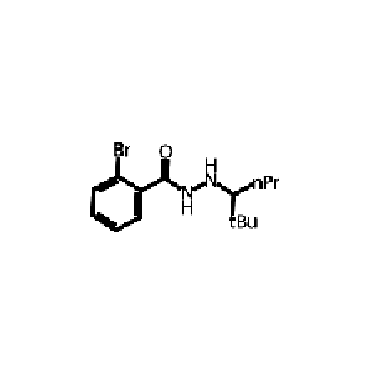 CCCC(NNC(=O)c1ccccc1Br)C(C)(C)C